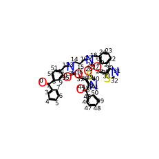 O=C(c1ccccc1)c1ccc(CN(CCCN(Cc2ccccc2)C(=O)OCc2cncs2)C(=O)OCc2scnc2C(=O)c2ccccc2)cc1